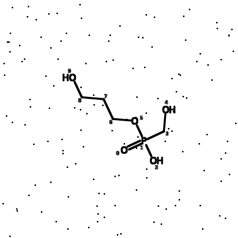 O=P(O)(CO)OCCCO